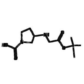 CC(C)(C)OC(=O)CNC1CCN(C(=O)O)C1